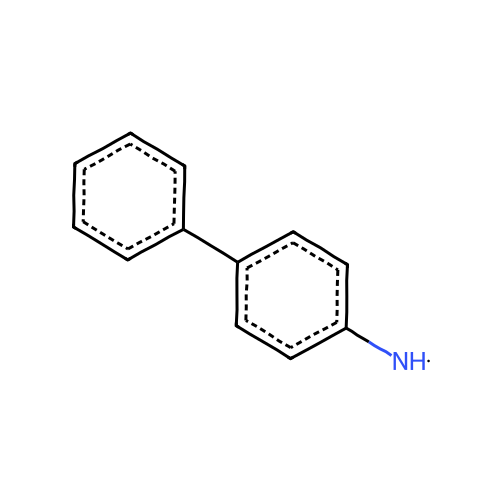 [NH]c1ccc(-c2ccccc2)cc1